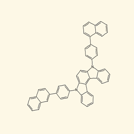 c1ccc2cc(-c3ccc(-n4c5ccccc5c5c6c7ccccc7n(-c7ccc(-c8cccc9ccccc89)cc7)c6ccc54)cc3)ccc2c1